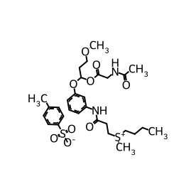 CCCC[S+](C)CCC(=O)Nc1cccc(OC(CCOC)OC(=O)CNC(C)=O)c1.Cc1ccc(S(=O)(=O)[O-])cc1